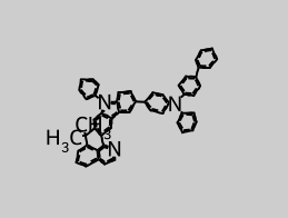 CC1(C)c2cc3c(cc2-c2nccc4cccc1c24)c1cc(-c2ccc(N(c4ccccc4)c4ccc(-c5ccccc5)cc4)cc2)ccc1n3-c1ccccc1